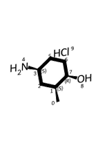 C[C@H]1C[C@@H](N)CC[C@H]1O.Cl